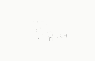 CC(C)Cc1ccc([I+]c2ccc(CC(C)C)cc2)cc1.[Cl-]